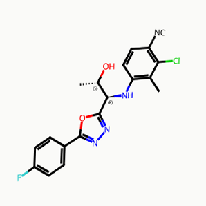 [C-]#[N+]c1ccc(N[C@@H](c2nnc(-c3ccc(F)cc3)o2)[C@H](C)O)c(C)c1Cl